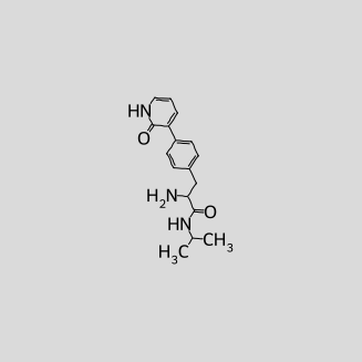 CC(C)NC(=O)C(N)Cc1ccc(-c2ccc[nH]c2=O)cc1